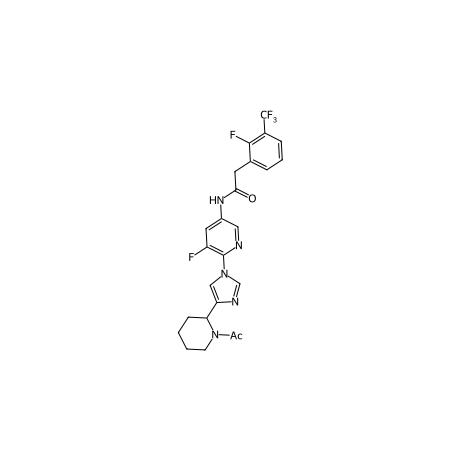 CC(=O)N1CCCCC1c1cn(-c2ncc(NC(=O)Cc3cccc(C(F)(F)F)c3F)cc2F)cn1